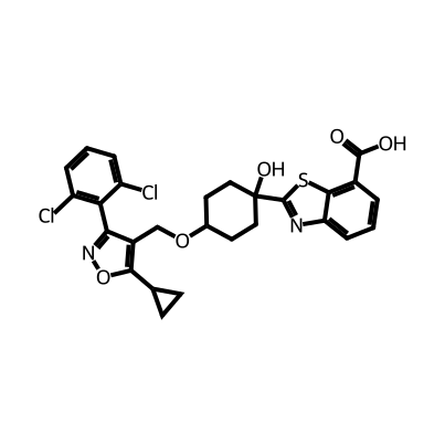 O=C(O)c1cccc2nc(C3(O)CCC(OCc4c(-c5c(Cl)cccc5Cl)noc4C4CC4)CC3)sc12